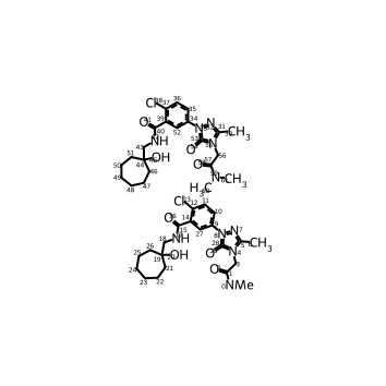 CNC(=O)Cn1c(C)nn(-c2ccc(Cl)c(C(=O)NCC3(O)CCCCCC3)c2)c1=O.Cc1nn(-c2ccc(Cl)c(C(=O)NCC3(O)CCCCCC3)c2)c(=O)n1CC(=O)N(C)C